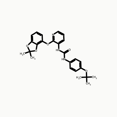 CC(C)(C)Oc1ccc(NC(=O)Nc2cccnc2Oc2cccc3c2OC(C)(C)O3)cc1